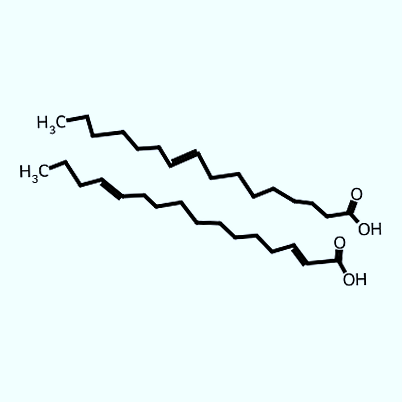 CCCC=CCCCCCCCCC=CC(=O)O.CCCCCCC=CCCCCCCCC(=O)O